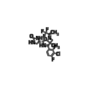 C[C@@H](N1CC(C)([C@@H](NC(=O)[C@@H]2CNC(=O)N2)c2ccc(F)c(Cl)c2F)C1)C(F)(F)F